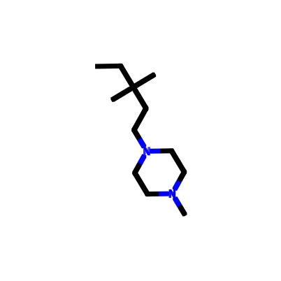 CCC(C)(C)CCN1CCN(C)CC1